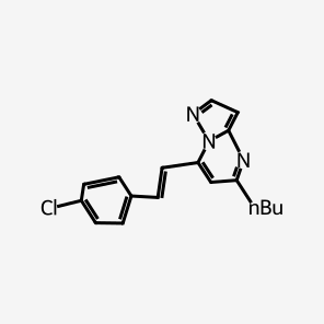 CCCCc1cc(/C=C/c2ccc(Cl)cc2)n2nccc2n1